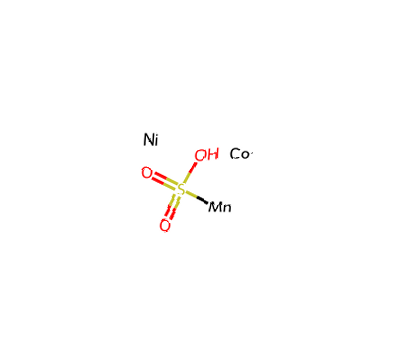 O=[S](=O)(O)[Mn].[Co].[Ni]